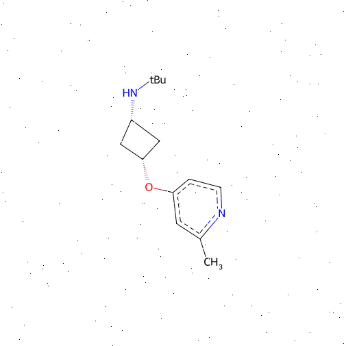 Cc1cc(O[C@H]2C[C@@H](NC(C)(C)C)C2)ccn1